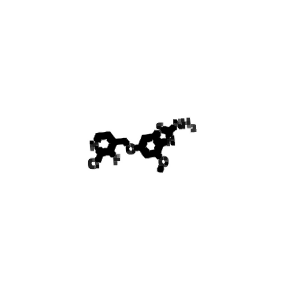 COc1cc(OCc2ccnc(Cl)c2F)cc2sc(N)nc12